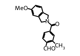 COc1ccc2c(c1)CN(C(=O)c1ccc(C=O)c(C)c1)C2